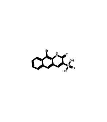 O=c1[nH]c2c(Br)c3ccccc3cc2cc1P(=O)(O)O